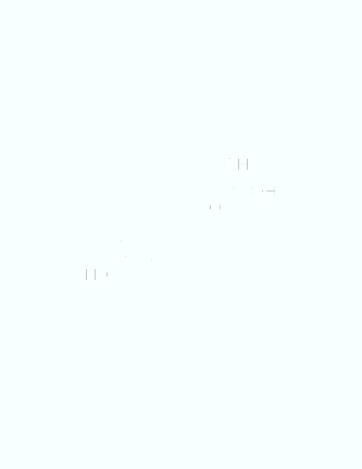 CC(=O)Oc1ccccc1-c1ccccc1.O=C(O)O